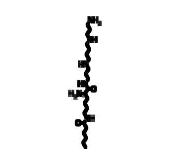 CCCCCC(=O)NCCCC[C@@H](N)C(=O)NCCCNCCCCNCCCN